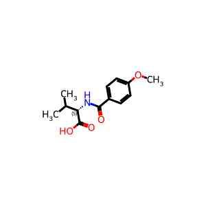 COc1ccc(C(=O)N[C@H](C(=O)O)C(C)C)cc1